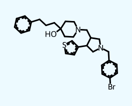 OC1(CCCc2ccccc2)CCN(CC2CN(Cc3ccc(Br)cc3)CC2c2ccsc2)CC1